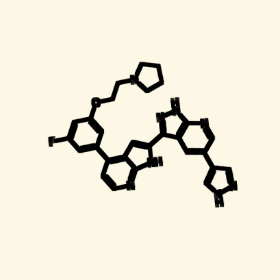 Fc1cc(OCCN2CCCC2)cc(-c2ccnc3[nH]c(-c4n[nH]c5ncc(-c6cn[nH]c6)cc45)cc23)c1